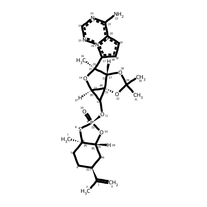 C=C(C)[C@H]1CC[C@@]2(C)S[P@@](=O)(OC3[C@H]4O[C@@](C)(c5ccc6c(N)ncnn56)[C@@H]5OC(C)(C)O[C@]345)O[C@@H]2C1